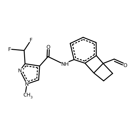 Cn1cc(C(=O)Nc2cccc3c2C2CCC32C=O)c(C(F)F)n1